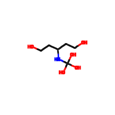 OCCC(CCO)NC(O)(O)O